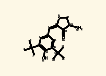 CC(C)(C)c1cc(C=C2SCN(N)C2=O)cc(C(C)(C)C)c1O